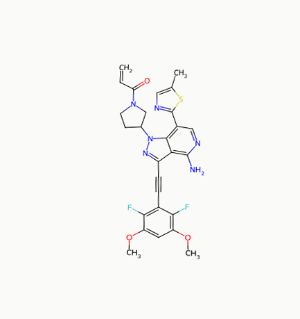 C=CC(=O)N1CCC(n2nc(C#Cc3c(F)c(OC)cc(OC)c3F)c3c(N)ncc(-c4ncc(C)s4)c32)C1